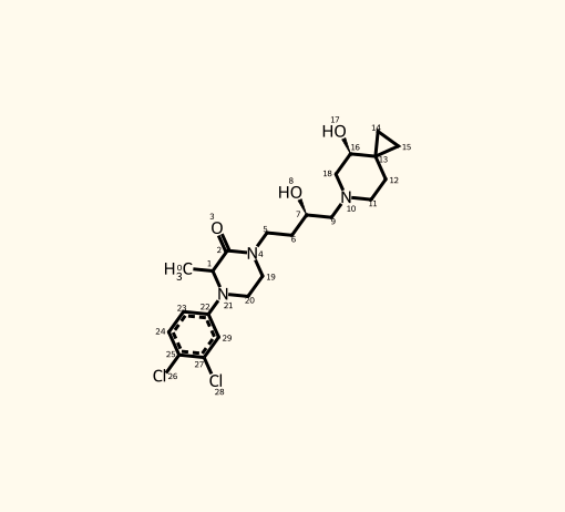 CC1C(=O)N(CC[C@@H](O)CN2CCC3(CC3)[C@H](O)C2)CCN1c1ccc(Cl)c(Cl)c1